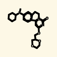 CN(c1ccc2c(c1)CCn1c-2cc(OCC2COCCO2)nc1=O)C1CCCCC1